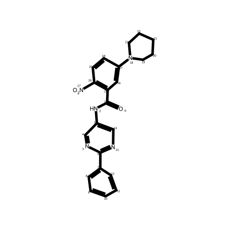 O=C(Nc1cnc(-c2ccccc2)nc1)c1cc(N2CCCCC2)ccc1[N+](=O)[O-]